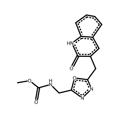 COC(=O)NCc1nnc(Cc2cc3ccccc3[nH]c2=O)o1